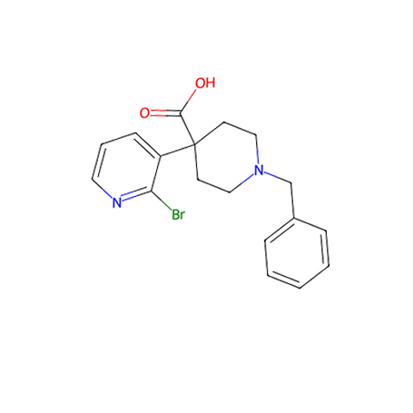 O=C(O)C1(c2cccnc2Br)CCN(Cc2ccccc2)CC1